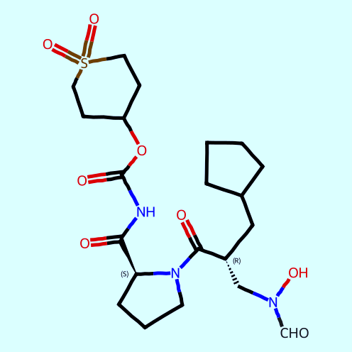 O=CN(O)C[C@@H](CC1CCCC1)C(=O)N1CCC[C@H]1C(=O)NC(=O)OC1CCS(=O)(=O)CC1